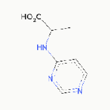 CC(Nc1ccncn1)C(=O)O